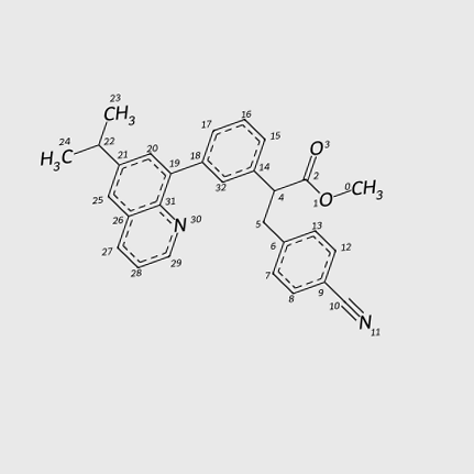 COC(=O)C(Cc1ccc(C#N)cc1)c1cccc(-c2cc(C(C)C)cc3cccnc23)c1